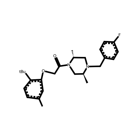 Cc1ccc(C(C)(C)C)c(OCC(=O)N2C[C@H](C)N(Cc3ccc(F)cc3)C[C@H]2C)c1